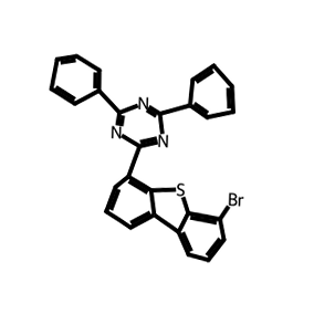 Brc1cccc2c1sc1c(-c3nc(-c4ccccc4)nc(-c4ccccc4)n3)cccc12